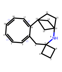 C1=C\C=C2\CC3(CCC3)NC34CCC(C3)(C4)\C2=C\C=C/1